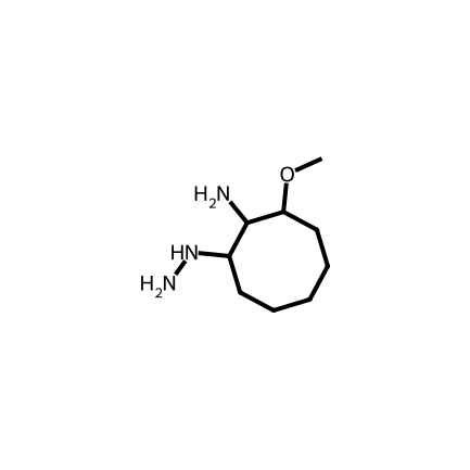 COC1CCCCCC(NN)C1N